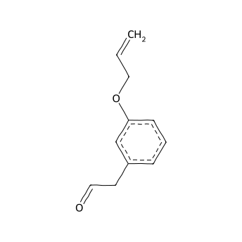 C=CCOc1cccc(CC=O)c1